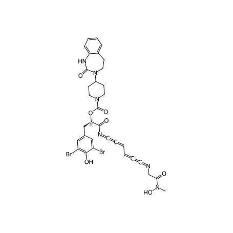 CN(O)C(=O)CN=C=C=CC=C=C=NC(=O)[C@@H](Cc1cc(Br)c(O)c(Br)c1)OC(=O)N1CCC(N2CCc3ccccc3NC2=O)CC1